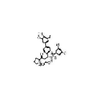 COc1cc(F)cc(-c2ccc([C@H](NS(=O)(=O)c3cc(Cl)cc(Cl)c3)[C@H](C(=O)O)C(=O)C3CCCN3)cc2)c1